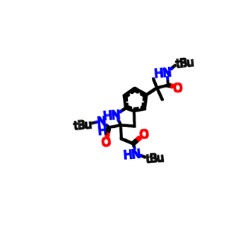 CC(C)(C)NC(=O)CC1(C(=O)NC(C)(C)C)Cc2cc(C(C)(C)C(=O)NC(C)(C)C)ccc2N1